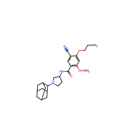 CCCOc1cc(OC)c(C(=O)NC2CCN(C3C4CC5CC(C4)CC3C5)C2)cc1C#N